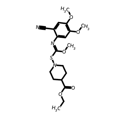 CCOC(=O)C1CCN(S/C(=N/c2cc(OC)c(OC)cc2C#N)OC)CC1